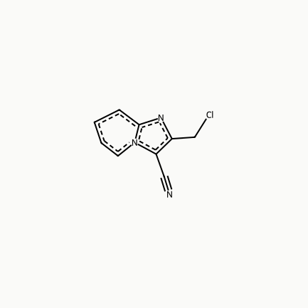 N#Cc1c(CCl)nc2ccccn12